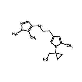 Cc1c(NCCc2cc(C)n(C3(CO)CC3)n2)cnn1C